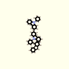 c1ccc(-n2c3ccccc3c3cc(-c4ccc5c(c4)c4ccccc4n5-c4ccccc4-c4cccc5c4-c4ccccc4C5)ccc32)cc1